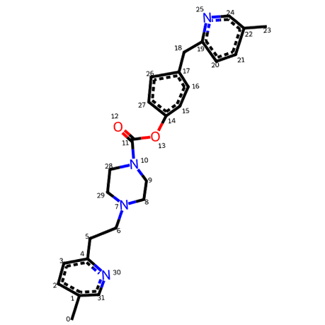 Cc1ccc(CCN2CCN(C(=O)Oc3ccc(Cc4ccc(C)cn4)cc3)CC2)nc1